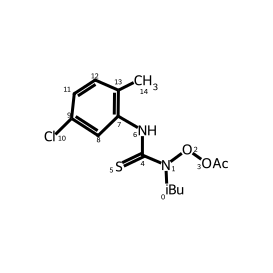 CCC(C)N(OOC(C)=O)C(=S)Nc1cc(Cl)ccc1C